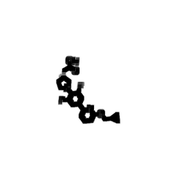 O=C(O)C[C@H]1CCN(c2c(F)cc(-c3cccc(OCC4CC4)n3)cc2F)C1